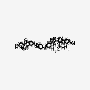 CC(C)Nc1c(-c2cn(C3CCN(CC4CCC5(CC4)CN(c4ccc6c(c4)C(=O)N(C4CCC(=O)NC4=O)C6=O)C5)CC3)nn2)cnc2c1[nH]c1cc(C#N)ccc12